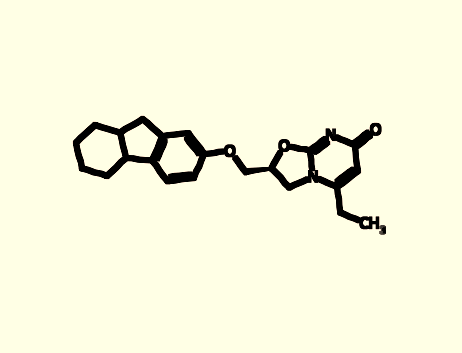 CCc1cc(=O)nc2n1C[C@@H](COc1ccc3c(c1)CC1CCCCC31)O2